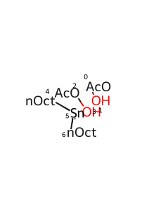 CC(=O)OO.CC(=O)OO.CCCCCCC[CH2][Sn][CH2]CCCCCCC